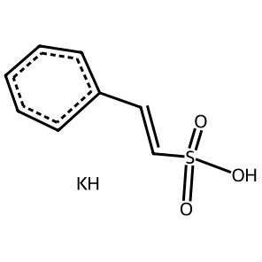 O=S(=O)(O)C=Cc1ccccc1.[KH]